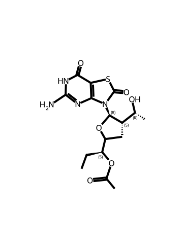 CC[C@H](OC(C)=O)C1C[C@@H]([C@@H](C)O)[C@H](n2c(=O)sc3c(=O)[nH]c(N)nc32)O1